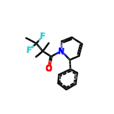 CC(F)(F)C(C)(C)C(=O)N1C=CC=CC1c1ccccc1